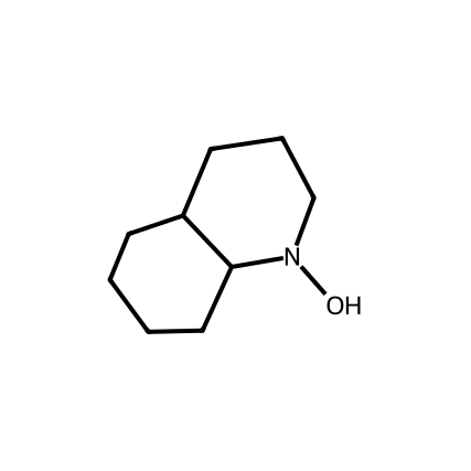 ON1CCCC2CCCCC21